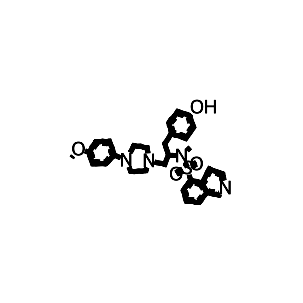 COc1ccc(N2CCN(CC(Cc3ccc(O)cc3)N(C)S(=O)(=O)c3cccc4cnccc34)CC2)cc1